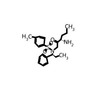 CCC[C@H](N)C(=O)CN([C@@H](CC)c1ccccc1)S(=O)(=O)c1ccc(C)cc1